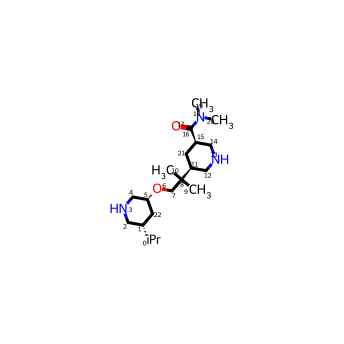 CC(C)[C@@H]1CNC[C@H](OCC(C)(C)[C@@H]2CNC[C@H](C(=O)N(C)C)C2)C1